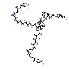 CCCCC/C=C\C/C=C\CCCCCCCCC1(CCCCCCCC/C=C\C/C=C\CCCCC)OCC(CN(C)CCCCCCN)O1